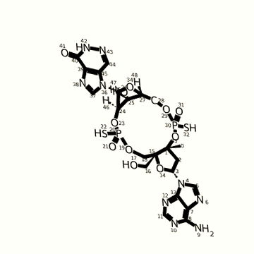 C[C@@]12C[C@H](n3cnc4c(N)ncnc43)O[C@]1(CO)COP(=O)(S)O[C@@H]1[C@H](O)[C@@H](COP(=O)(S)O2)O[C@H]1n1cnc2c(=O)[nH]ncc21